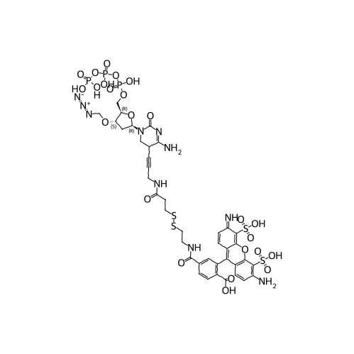 [N-]=[N+]=NCO[C@H]1C[C@H](N2CC(C#CCNC(=O)CCSSCCNC(=O)c3ccc(C(=O)O)c(-c4c5ccc(=N)c(S(=O)(=O)O)c-5oc5c(S(=O)(=O)O)c(N)ccc45)c3)C(N)=NC2=O)O[C@@H]1COP(=O)(O)OP(=O)(O)OP(=O)(O)O